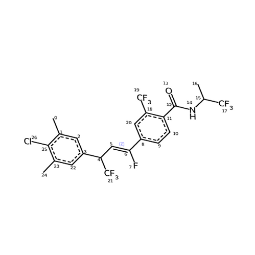 Cc1cc(C(/C=C(\F)c2ccc(C(=O)NC(C)C(F)(F)F)c(C(F)(F)F)c2)C(F)(F)F)cc(C)c1Cl